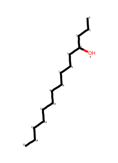 CC[CH]C(O)CCCCCCCCCCC